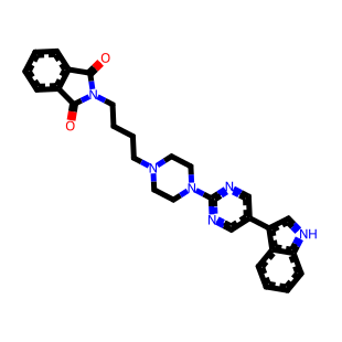 O=C1c2ccccc2C(=O)N1CCCCN1CCN(c2ncc(-c3c[nH]c4ccccc34)cn2)CC1